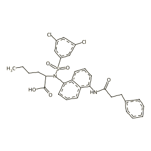 CCCCC(C(=O)O)N(c1cccc2c(NC(=O)CCc3ccccc3)cccc12)S(=O)(=O)c1cc(Cl)cc(Cl)c1